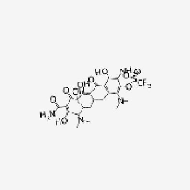 CN(C)c1c2c(c(O)c(N)c1OS(=O)(=O)C(F)(F)F)C(=O)C1=C(O)C3(O)C(=O)C(C(N)=O)=C(O)C(N(C)C)C3CC1C2